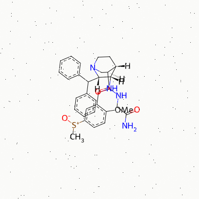 COc1ccc([S+](C)[O-])cc1CN[C@H]1[C@H]2CCN(C[C@@H]2C(=O)NCC(N)=O)[C@H]1C(c1ccccc1)c1ccccc1